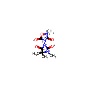 CN1OC(=O)[N+](N2C(=O)N(C)C(C)(C)C2=O)C1=O